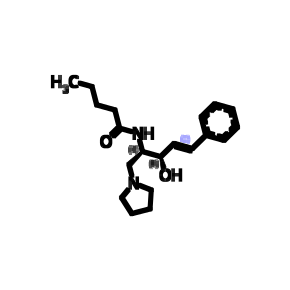 CCCCC(=O)N[C@H](CN1CCCC1)[C@H](O)/C=C/c1ccccc1